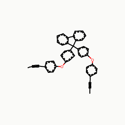 CC#Cc1ccc(Oc2ccc(C3(c4ccc(Oc5ccc(C#CC)cc5)cc4)c4ccccc4-c4ccccc43)cc2)cc1